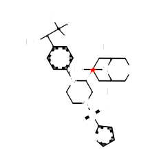 C[C@@](O)(c1ccc(N2CCN(S(=O)(=O)c3cccs3)C[C@@H]2CN2[C@@H]3COC[C@H]2CC(O)C3)cc1)C(F)(F)F